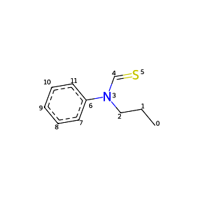 CCCN(C=S)c1ccccc1